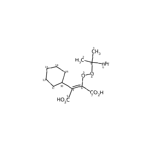 CCCC(C)(C)OOC(C(=O)O)=C(C(=O)O)C1CCCCC1